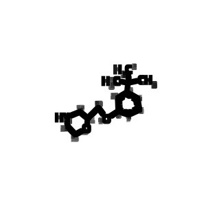 CC(C)(C)c1cccc(OCC2CNCCO2)c1